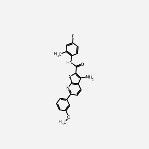 COc1cccc(-c2ccc3c(N)c(C(=O)Nc4ccc(F)cc4C)sc3n2)c1